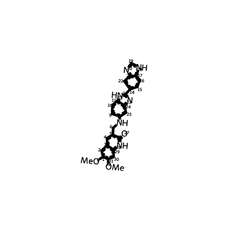 COc1cc2cc(CNc3ccc4[nH]c(-c5ccc6[nH]cnc6c5)nc4c3)c(=O)[nH]c2cc1OC